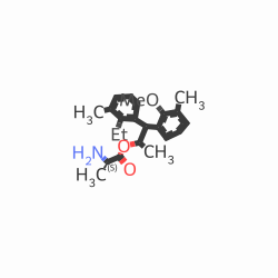 CCc1c(C)cccc1C(c1cccc(C)c1OC)C(C)OC(=O)[C@H](C)N